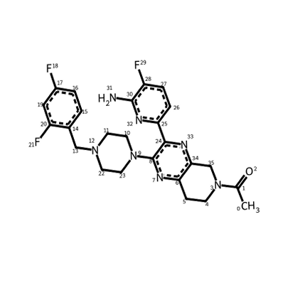 CC(=O)N1CCc2nc(N3CCN(Cc4ccc(F)cc4F)CC3)c(-c3ccc(F)c(N)n3)nc2C1